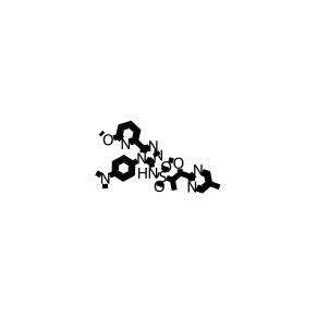 COc1cccc(-c2nnc(NS(=O)(=O)C(C)C(OC)c3ncc(C)cn3)n2-c2ccc(N(C)C)cc2)n1